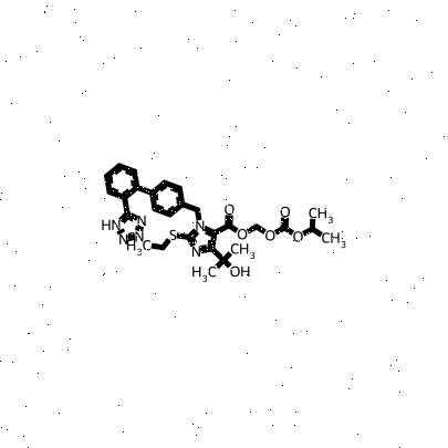 CCSc1nc(C(C)(C)O)c(C(=O)OCOC(=O)OC(C)C)n1Cc1ccc(-c2ccccc2-c2nnn[nH]2)cc1